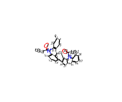 Cc1cccc(N(C(=O)C(C)(C)C)c2cccc(-c3cccc(N(C(=O)C(C)(C)C)c4ccccc4C)c3C)c2C)c1